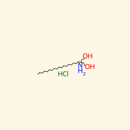 CCCCCCCCCCCCCCCCCCC(N)(CCO)CCO.Cl